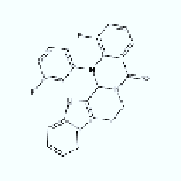 O=C1c2cccc(F)c2N(c2cccc(F)c2)C2c3[nH]c4ccccc4c3CCN12